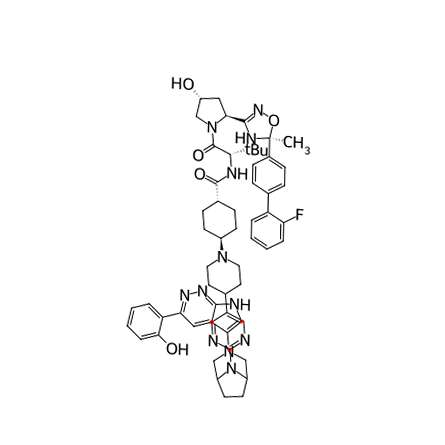 CC(C)(C)[C@H](NC(=O)[C@H]1CC[C@H](N2CCC(c3cnc(N4C5CCC4CN(c4c[nH]c6nnc(-c7ccccc7O)cc46)C5)nc3)CC2)CC1)C(=O)N1C[C@H](O)C[C@H]1C1=NO[C@@](C)(c2ccc(-c3ccccc3F)cc2)N1